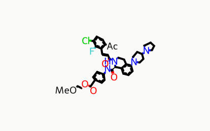 COCCOC(=O)c1ccc(NC(=O)[C@@H]2c3cccc(N4CCC(N5CCCC5)CC4)c3CCN2C(=O)/C=C/c2c(C(C)=O)ccc(Cl)c2F)cc1